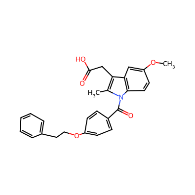 COc1ccc2c(c1)c(CC(=O)O)c(C)n2C(=O)c1ccc(OCCc2ccccc2)cc1